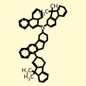 CC1(C)C2=CC(c3c4c(cc5ccccc35)C3=C(CCC(N(C5=Cc6ccccc6C6C=CC=CC56)C5C=CC6=C(C5)C(C)(C)C5CCC=CC65)C3)C4)CCC2C2=CC=CCC21